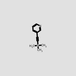 C[Si](C)(C)C#Cc1c[c]cnc1